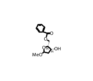 COC1C[C@@H](O)[C@@H](COC(=O)c2ccccc2)O1